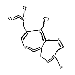 O=[N+]([O-])c1cnc2cc(Br)cnc2c1Cl